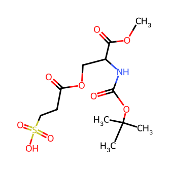 COC(=O)C(COC(=O)CCS(=O)(=O)O)NC(=O)OC(C)(C)C